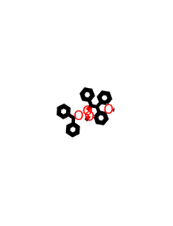 COc1ccccc1C(C(=O)c1ccccc1)c1ccccc1OC.O=C(c1ccccc1)c1ccccc1